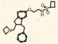 O=S(=O)(NCCOc1ccc2c(c1)C(Cc1ccccc1)C(CN1CCC1)C2)C1CCC1